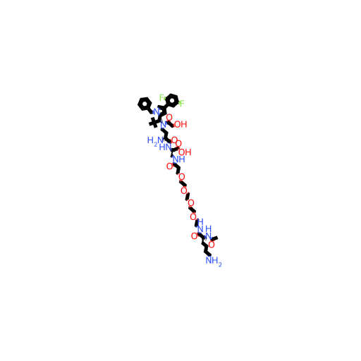 CC(=O)N[C@@H](CCCCN)C(=O)NCCOCCOCCOCCOCCC(=O)NC[C@@H](NC(=O)[C@@H](N)CCN(C(=O)CO)[C@@H](c1cc(-c2cc(F)ccc2F)cn1Cc1ccccc1)C(C)(C)C)C(=O)O